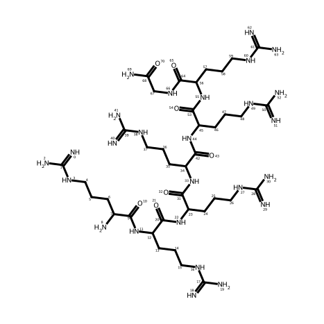 N=C(N)NCCCC(N)C(=O)NC(CCCNC(=N)N)C(=O)NC(CCCNC(=N)N)C(=O)NC(CCCNC(=N)N)C(=O)NC(CCCNC(=N)N)C(=O)NC(CCCNC(=N)N)C(=O)NCC(N)=O